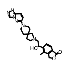 Cc1c(C(O)CN2CCC3(CCN(c4ccc5nncn5n4)CC3)C2)ccc2c1COC2=O